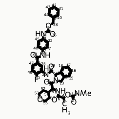 CNC(=O)OC(C)C(=O)NC(C(=O)N1Cc2ccccc2[C@H]1C(=O)Nc1cc(C(=O)Nc2ccc(NC(=O)OCc3ccccc3)cc2)ccc1F)C1CCOCC1